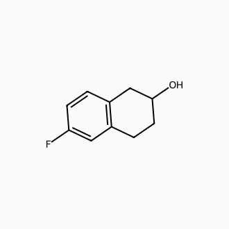 OC1CCc2cc(F)ccc2C1